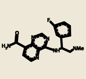 CNCC(Nc1ncnc2c(C(N)=O)ccnc12)c1cccc(F)c1